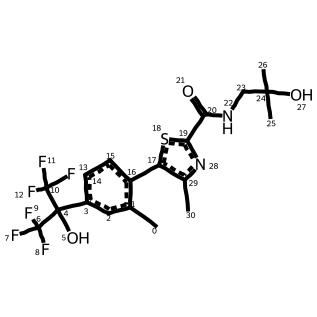 Cc1cc(C(O)(C(F)(F)F)C(F)(F)F)ccc1-c1sc(C(=O)NCC(C)(C)O)nc1C